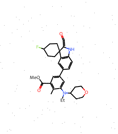 CCN(c1cc(-c2ccc3c(c2)C2(CCC(F)CC2)C(=C=O)N3)cc(C(=O)OC)c1C)C1CCOCC1